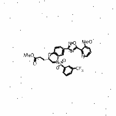 COC(=O)CC[C@H]1CN(S(=O)(=O)c2cccc(C(F)(F)F)c2)c2cc(-c3noc(-c4ncccc4OC)n3)ccc2O1